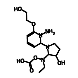 CCN(OC(=O)O)C1C(O)CCN1C1C=CC=C(OCCO)N1N